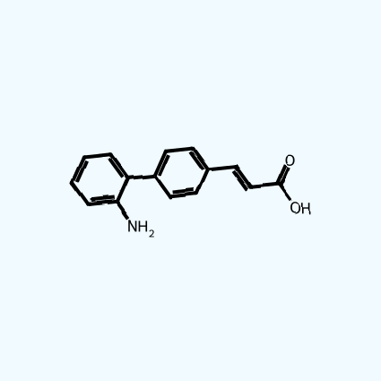 Nc1ccccc1-c1ccc(C=CC(=O)O)cc1